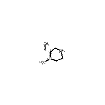 CC[C@@H]1CNCCN1C